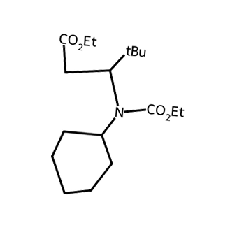 CCOC(=O)CC(N(C(=O)OCC)C1CCCCC1)C(C)(C)C